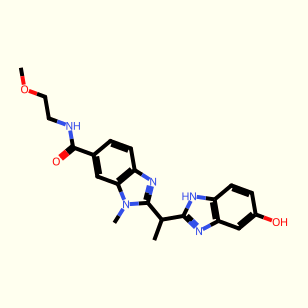 COCCNC(=O)c1ccc2nc(C(C)c3nc4cc(O)ccc4[nH]3)n(C)c2c1